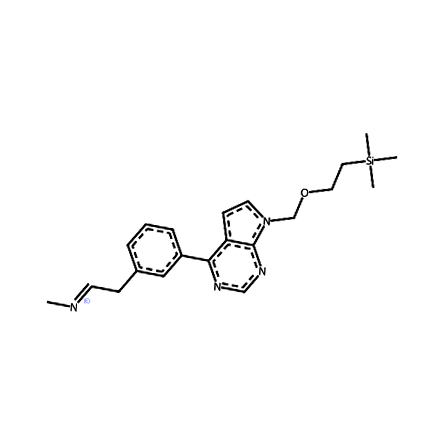 C/N=C/Cc1cccc(-c2ncnc3c2ccn3COCC[Si](C)(C)C)c1